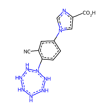 N#Cc1cc(-n2cnc(C(=O)O)c2)ccc1-n1[nH][nH][nH][nH][nH][nH]1